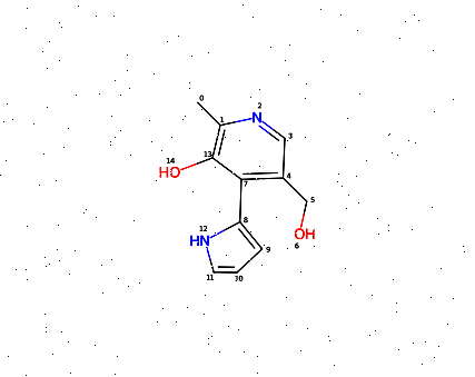 Cc1ncc(CO)c(-c2ccc[nH]2)c1O